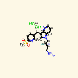 CCS(=O)(=O)c1ccc(Cc2c(C(C)C)n(C/C(F)=C/CN)c3cccnc23)cn1.Cl.Cl